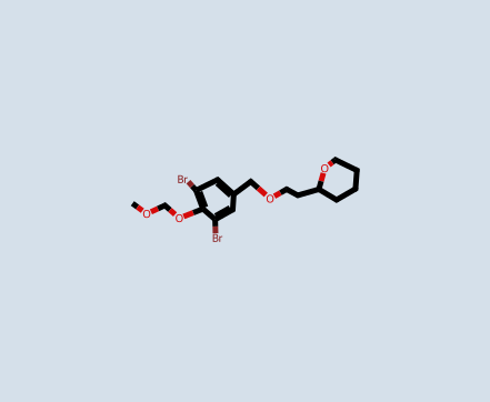 COCOc1c(Br)cc(COCCC2CCCCO2)cc1Br